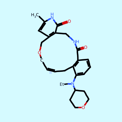 CCN(c1cccc2c1C/C=C\COCc1cc(C)[nH]c(=O)c1CNC2=O)C1CCOCC1